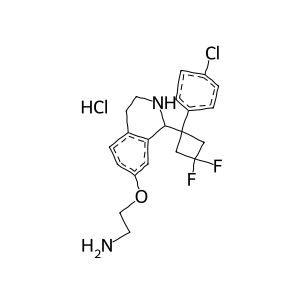 Cl.NCCOc1ccc2c(c1)C(C1(c3ccc(Cl)cc3)CC(F)(F)C1)NCC2